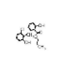 CCCOC(=O)c1ccccc1O.Cc1c(O)cccc1Cl